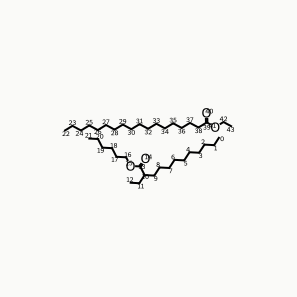 CCCCCCCCCCC(CC)C(=O)OCCCCCC.CCCCCCCCCCCCCCCCCC(=O)OCC